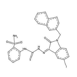 NS(=O)(=O)c1ccccc1NC(=S)NN=C1C(=O)N(Cc2ccc3ccccc3c2)c2ccc(I)cc21